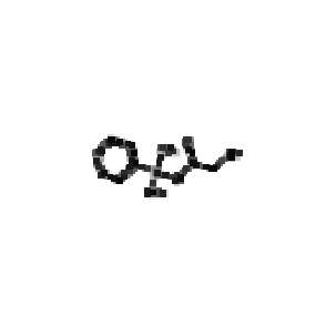 CC(=O)O[Si](OC(C)=O)(OC(=O)CC(C)C)c1ccccc1